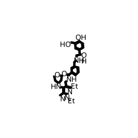 CCc1nc2c(cnn2CC)c(NC2CCOCC2)c1CNC(=O)c1cccc(CNCC(O)c2ccc(O)c(CO)c2)c1